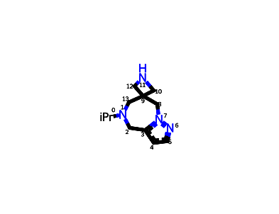 CC(C)N1Cc2ccnn2CC2(CNC2)C1